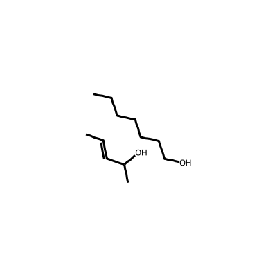 CC=CC(C)O.CCCCCCCO